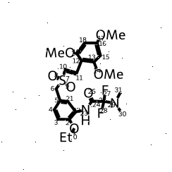 CCOc1ccc(CS(=O)(=O)C=Cc2c(OC)cc(OC)cc2OC)cc1NC(=O)C(F)(F)N(C)C